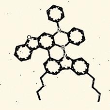 CCCCc1ccc2c(c1)c1cc(CCCC)cc3c1n2B1c2ccccc2N(c2ccccc2)c2cc4oc5ccccc5c4c-3c21